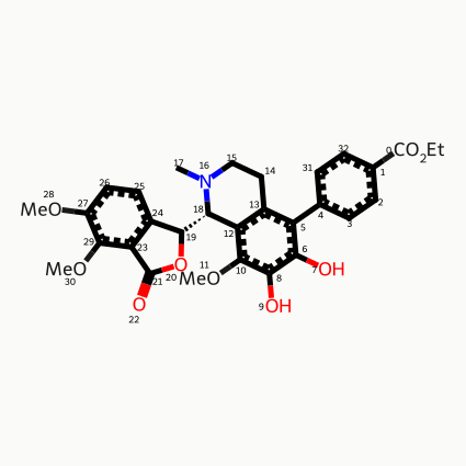 CCOC(=O)c1ccc(-c2c(O)c(O)c(OC)c3c2CCN(C)[C@H]3C2OC(=O)c3c2ccc(OC)c3OC)cc1